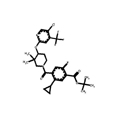 CC(C)(C)OC(=O)c1cc(C2CC2)c(C(=O)N2CCC(Oc3cc(C(F)(F)F)c(Cl)cn3)C(C)(C)C2)cc1F